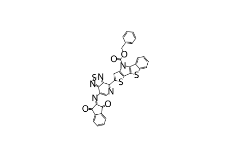 O=C(OCc1ccccc1)n1c2cc(-c3ncc(N=c4c(=O)c5ccccc5c4=O)c4nsnc34)sc2c2sc3ccccc3c21